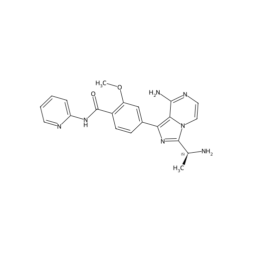 COc1cc(-c2nc([C@H](C)N)n3ccnc(N)c23)ccc1C(=O)Nc1ccccn1